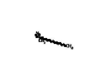 CCCCCCCCCCCCCCC[C](C)N1C=NCC1